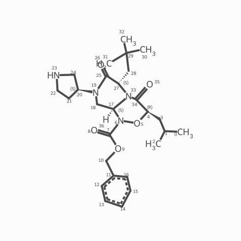 CC(C)C[C@H]1ON(C(=O)OCc2ccccc2)[C@H]2CN([C@H]3CCNC3)C(=O)[C@H](CC(C)(C)C)N2C1=O